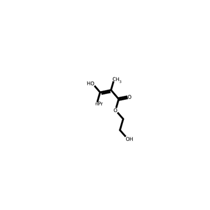 CCCC(O)=C(C)C(=O)OCCO